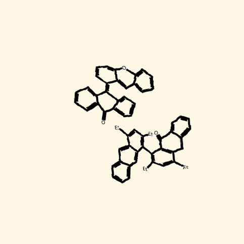 CCc1cc(CC)c(-c2c(CC)cc(CC)c3cc4ccccc4cc23)c2c1Cc1ccccc1C2=O.O=C1c2ccccc2C(=c2cccc3c2=Cc2ccccc2O3)c2ccccc21